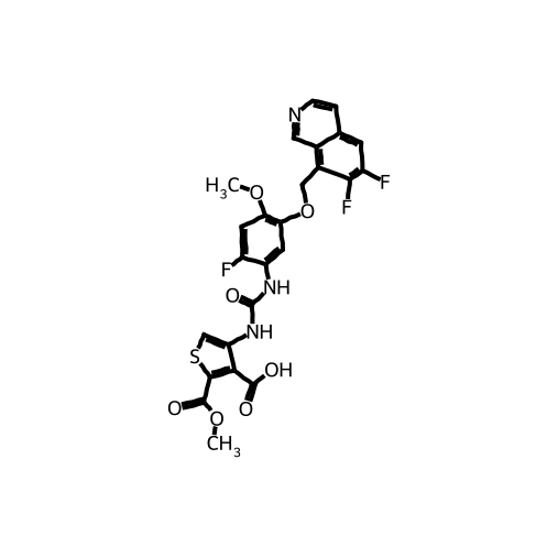 COC(=O)c1scc(NC(=O)Nc2cc(OCc3c(F)c(F)cc4ccncc34)c(OC)cc2F)c1C(=O)O